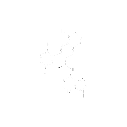 C[C@H](Nc1ccnc2[nH]cnc12)c1cc2cccc(F)c2nc1-c1cc(F)ccc1F